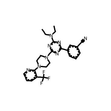 CCN(CC)c1nc(-c2cccc(C#N)c2)nc(N2CCN(c3ncccc3C(F)(F)F)CC2)n1